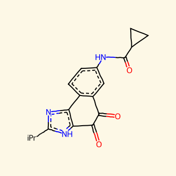 CC(C)c1nc2c([nH]1)C(=O)C(=O)c1cc(NC(=O)C3CC3)ccc1-2